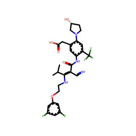 CC(C)/C(NCCOc1cc(F)cc(F)c1)=C(/C=N)C(=O)Nc1cc(CC(=O)O)c(N2CC[C@@H](O)C2)cc1C(F)(F)F